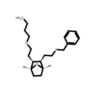 O=C(O)CCCOCC[C@H]1[C@@H](CCSCc2ccccc2)[C@H]2CC[C@@H]1O2